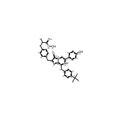 CC(Cc1ccc(Cc2nc3c(Cc4ccc(C(C)(C)C)cc4)[nH]c(-c4ccc(O)cc4)cn-3c2=O)cc1)C(=O)OO